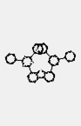 c1ccc(-c2nc(-c3ccccc3)nc(-c3cccc4c3oc3c(-c5cc(-c6cccnc6)cc(-c6cccnc6)c5)cccc34)n2)cc1